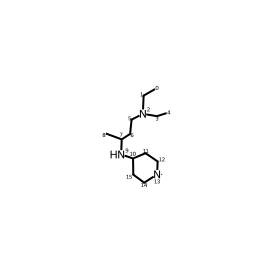 CCN(CC)CCC(C)NC1CC[N]CC1